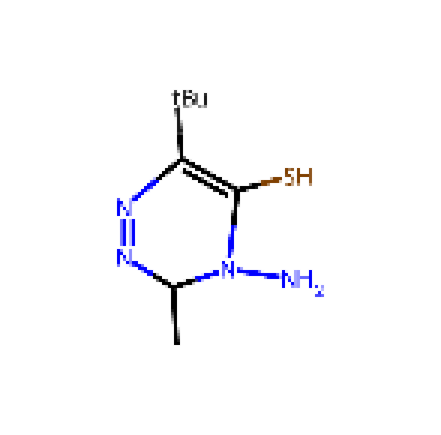 CC1N=NC(C(C)(C)C)=C(S)N1N